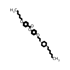 CCCCCCC[C@H]1CC[C@H](CCCOc2ccc(OC(=O)c3ccc(OCCCCCC)cc3)cc2)CC1